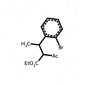 CCOC(=O)C(C(C)=O)C(C)c1ccccc1Br